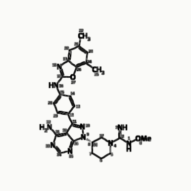 CONC(=N)N1CCC[C@H](n2nc(-c3ccc(Nc4nc5cc(C)cc(C)c5o4)cc3)c3c(N)ncnc32)C1